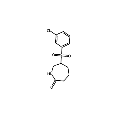 O=C1CCCC(S(=O)(=O)c2cccc(Cl)c2)CN1